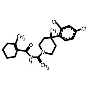 C=C(NC(=O)C1=C(C)CCCC1)N1CCC(C)(c2ccc(Cl)cc2Cl)CC1